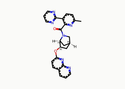 Cc1ccc(-c2ncccn2)c(C(=O)N2C[C@H]3C[C@@H](Oc4ccc5cccnc5n4)[C@@H]2C3)n1